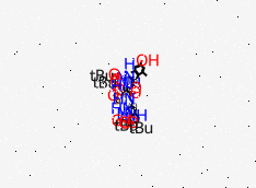 Cc1cc(O)cc(C)c1C[C@H](N/C(=N/C(=O)OC(C)(C)C)NC(=O)OC(C)(C)C)C(=O)N[C@H](CC[S+](C)[O-])C(=O)NC[C@H](Cc1ccccc1)N/C(=N/C(=O)OC(C)(C)C)NC(=O)OC(C)(C)C